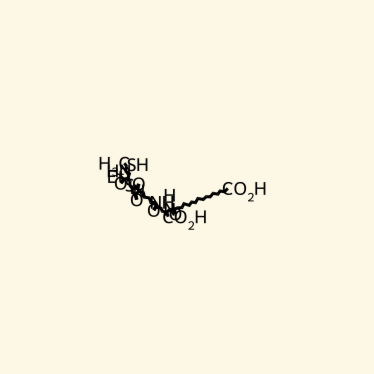 CCC(=O)C(CNC(C)S)CSC1CC(=O)N(CCCCNC(=O)CCC(NC(=O)CCCCCCCCCCCCCCC(=O)O)C(=O)O)C1=O